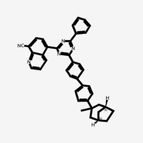 CC1(c2ccc(-c3ccc(-c4nc(-c5ccccc5)nc(-c5ccc(C#N)c6ncccc56)n4)cc3)cc2)C[C@@H]2CC[C@@H](C2)C1